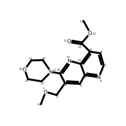 COCc1cc2nccc(C(=O)OC)c2nc1N1CCOCC1